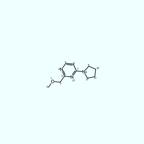 COCc1nccc(N2CCCC2)n1